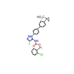 C[C@@H](OC(=O)Nc1c(F)cnn1-c1ccc(-c2ccc(C3(C(=O)O)CC3)cc2)cc1)c1ccccc1Cl